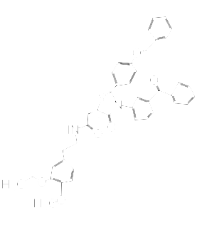 CCOc1cc(CCNC(=O)C[C@H]2S[C@@H](c3ccc(OCc4ccccc4)cc3)N(c3cccc(C(=O)c4ccccc4)c3)C2=O)ccc1OC